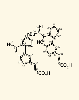 CC(C#N)c1ccccc1-c1cccc(C=CC(=O)O)c1.CCCCC(CC)C(C#N)c1ccccc1-c1cccc(C=CC(=O)O)c1